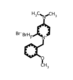 Br.COc1ccccc1C[n+]1ccc(N(C)C)cc1F.[Br-]